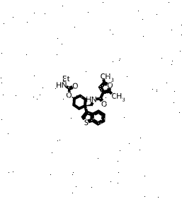 CCNC(=O)O[C@H]1CC[C@@](CNC(=O)c2cc(C)oc2C)(c2csc3ccccc32)CC1